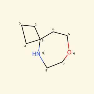 C1CC2(C1)CCOCCN2